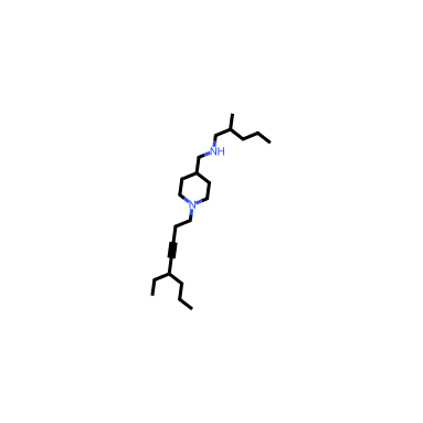 CCCC(C)CNCC1CCN(CCC#CC(CC)CCC)CC1